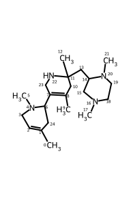 CC1=CCN(C)C(C2=C(C)CC(C)(CC3CN(C)CCN3C)NC2)C1